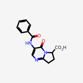 O=C(Nc1cnc2n(c1=O)C(C(=O)O)CC2)c1ccccc1